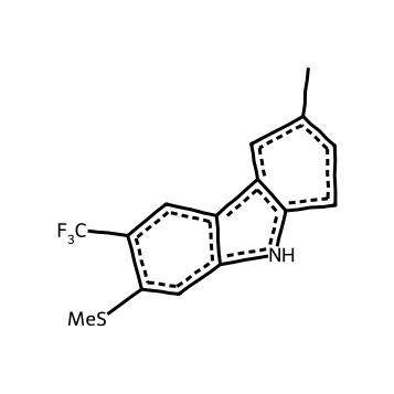 CSc1cc2[nH]c3ccc(C)cc3c2cc1C(F)(F)F